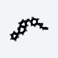 CC(C)(C)CN[C@H]1CC[C@H](Oc2ccc3c(c2)CCC(c2ccccc2)O3)CC1